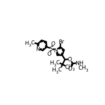 CNC(=O)OC(c1cc(Br)n(S(=O)(=O)c2ccc(C)nc2)c1)C(C)(C)C